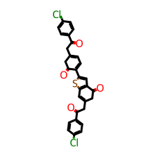 O=C1CC(CC(=O)c2ccc(Cl)cc2)=CC=C1c1cc2c(s1)C=C(CC(=O)c1ccc(Cl)cc1)CC2=O